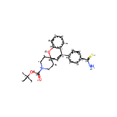 CC(C)(C)OC(=O)N1CCC2(C=C(c3ccc(C(N)=S)cc3)c3ccccc3O2)CC1